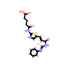 O=C(O)CCCC(=O)Nc1ncc(/C=C2\S/C(=N\c3ccccc3)NC2=O)s1